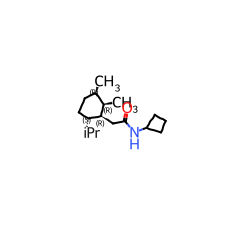 CC(C)[C@@H]1CC[C@@H](C)[C@@H](C)[C@H]1CC(=O)NC1CCC1